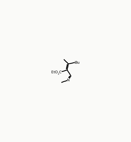 CCOC(=O)C(/C=N\C)=C(\C)C(C)CC